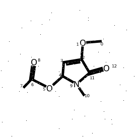 COC1=CC(OC(C)=O)N(C)C1=O